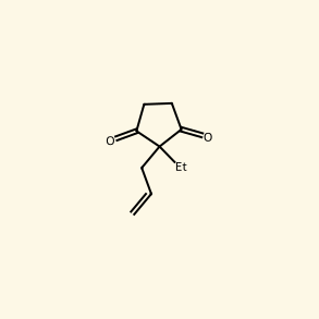 C=CCC1(CC)C(=O)CCC1=O